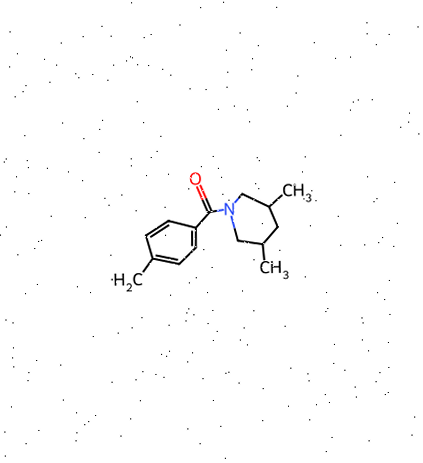 [CH2]c1ccc(C(=O)N2CC(C)CC(C)C2)cc1